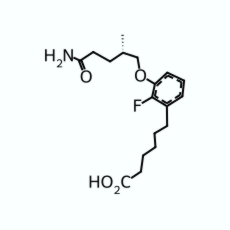 C[C@@H](CCC(N)=O)COc1cccc(CCCCCC(=O)O)c1F